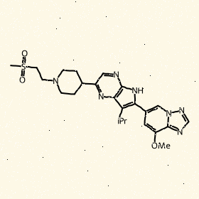 COc1cc(-c2[nH]c3ncc(C4CCN(CCS(C)(=O)=O)CC4)nc3c2C(C)C)cn2ncnc12